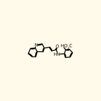 O=C(C=Cc1cnc2ccccc2c1)Nc1ccccc1C(=O)O